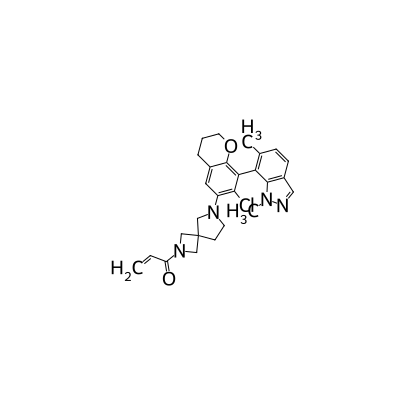 C=CC(=O)N1CC2(CCN(c3cc4c(c(-c5c(C)ccc6cnn(C)c56)c3Cl)OCCC4)C2)C1